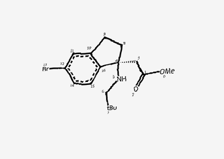 COC(=O)C[C@@]1(NCC(C)(C)C)CCc2cc(Br)ccc21